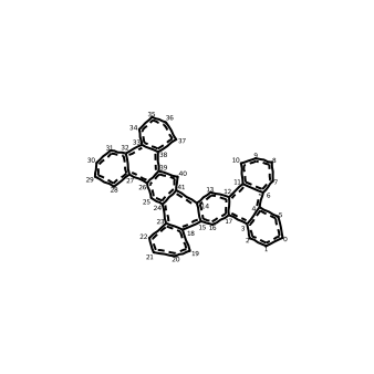 c1ccc2c(c1)c1ccccc1c1cc3c(cc21)c1ccccc1c1cc2c4ccccc4c4ccccc4c2cc13